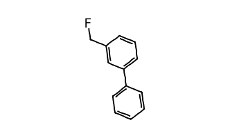 FCc1cccc(-c2ccccc2)c1